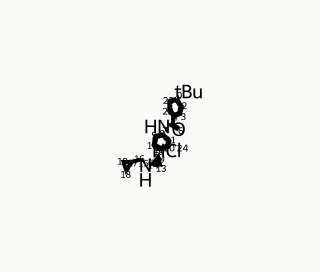 CC(C)(C)c1ccc(C(=O)Nc2ccc([C@@H]3C[C@H]3NCC3CC3)cc2)cc1.Cl